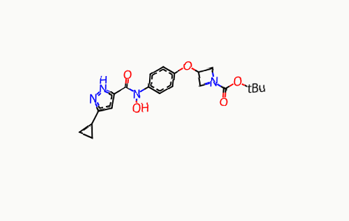 CC(C)(C)OC(=O)N1CC(Oc2ccc(N(O)C(=O)c3cc(C4CC4)n[nH]3)cc2)C1